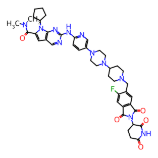 CN(C)C(=O)c1cc2cnc(Nc3ccc(N4CCN(C5CCN(Cc6cc7c(cc6F)C(=O)N(C6CCC(=O)NC6=O)C7=O)CC5)CC4)cn3)nc2n1C1CCCC1